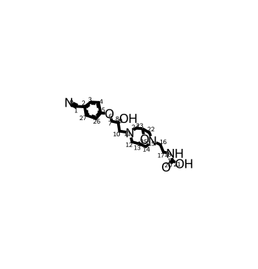 N#Cc1ccc(OCC(O)CN2CC3CN(CCNC(=O)O)CC(C2)O3)cc1